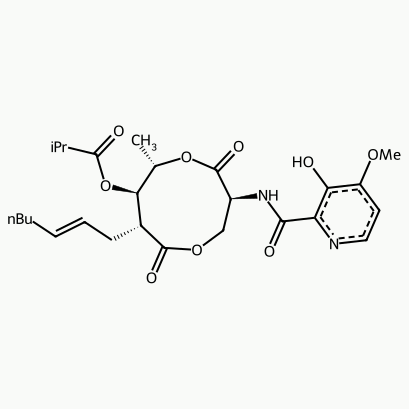 CCCCC=CC[C@H]1C(=O)OC[C@H](NC(=O)c2nccc(OC)c2O)C(=O)O[C@@H](C)[C@@H]1OC(=O)C(C)C